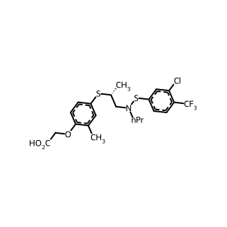 CCCN(C[C@@H](C)Sc1ccc(OCC(=O)O)c(C)c1)Sc1ccc(C(F)(F)F)c(Cl)c1